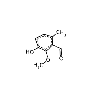 COc1c(O)ccc(C)c1C=O